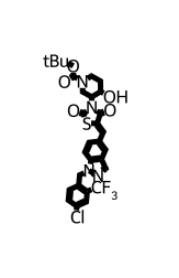 CC(C)(C)OC(=O)N1CCC(O)C(N2C(=O)S/C(=C\c3ccc4c(cnn4Cc4ccc(Cl)cc4C(F)(F)F)c3)C2=O)C1